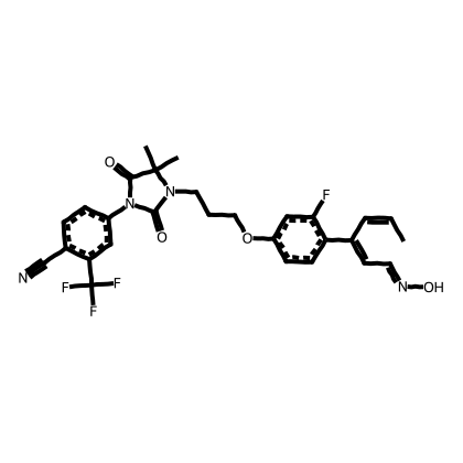 C\C=C/C(=C\C=N\O)c1ccc(OCCCN2C(=O)N(c3ccc(C#N)c(C(F)(F)F)c3)C(=O)C2(C)C)cc1F